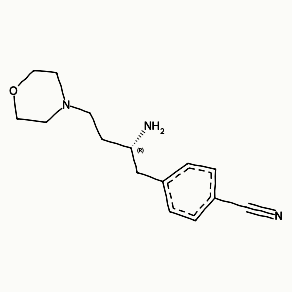 N#Cc1ccc(C[C@@H](N)CCN2CCOCC2)cc1